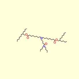 CCCCCCC(CCCC)COC(=O)CCCCCCCN(CCCCCCCC(=O)OCC(CCCC)CCCCCC)CCCC(=O)N(CCCC)CCCC